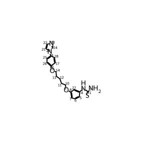 NC(=S)Nc1cccc(OCCCCCOc2ccc(-n3ccnc3)cc2)c1